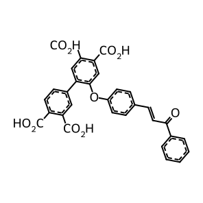 O=C(C=Cc1ccc(Oc2cc(C(=O)O)c(C(=O)O)cc2-c2ccc(C(=O)O)c(C(=O)O)c2)cc1)c1ccccc1